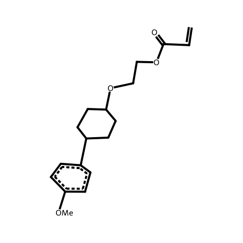 C=CC(=O)OCCOC1CCC(c2ccc(OC)cc2)CC1